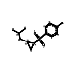 Cc1ccc(S(=O)(=O)N2C[C@@H]2CC(C)C)cc1